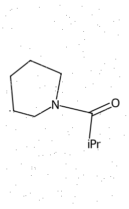 CC(C)C(=O)N1C[CH]CCC1